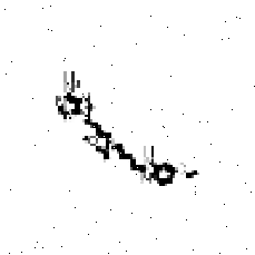 CCOc1ccc2nc(CCCCN(CC(CCn3cnc4c(N)ncnc43)OC)C(C)C)[nH]c2c1